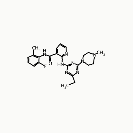 CCc1nc(Nc2ncccc2C(=O)Nc2c(C)cccc2F)nc(N2CCN(C)CC2)n1